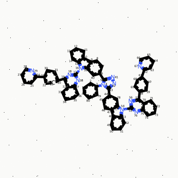 c1ccc(-n2c(-c3ccc4c5ccccc5n(-c5nc(-c6ccc(-c7ccccn7)cc6)c6ccccc6n5)c4c3)nnc2-c2ccc3c4ccccc4n(-c4nc(-c5ccc(-c6ccccn6)cc5)c5ccccc5n4)c3c2)cc1